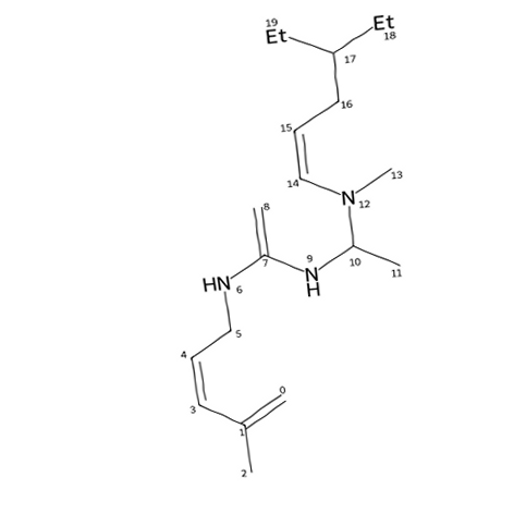 C=C(C)/C=C\CNC(=C)NC(C)N(C)/C=C\CC(CC)CC